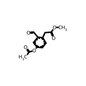 COC(=O)Cc1ccc(OC(C)=O)cc1C=O